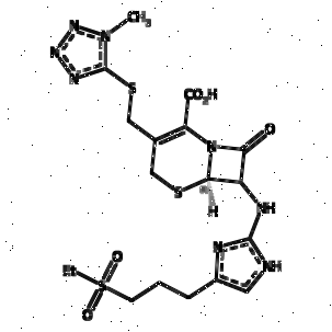 CCS(=O)(=O)CCCc1c[nH]c(NC2C(=O)N3C(C(=O)O)=C(CSc4nnnn4C)CS[C@H]23)n1